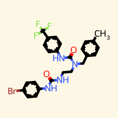 Cc1ccc(CN(CCNC(=O)Nc2ccc(Br)cc2)C(=O)Nc2ccc(C(F)(F)F)cc2)cc1